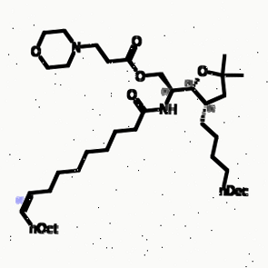 CCCCCCCC/C=C\CCCCCCCC(=O)N[C@@H](COC(=O)CCN1CCOCC1)[C@@H]1OC(C)(C)C[C@@H]1CCCCCCCCCCCCCC